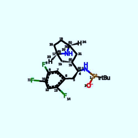 CC(C)(C)[S+]([O-])N[C@@H](Cc1cc(F)c(F)cc1F)[C@@H]1C[C@H]2CC[C@@H](C1)N2